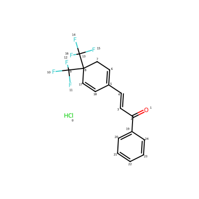 Cl.O=C(C=CC1=CCC(C(F)(F)F)(C(F)(F)F)C=C1)c1ccccc1